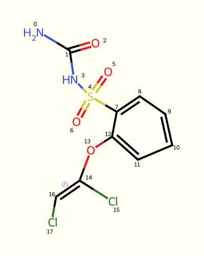 NC(=O)NS(=O)(=O)c1ccccc1O/C(Cl)=C/Cl